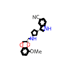 COc1cccc2c1O[C@@H](CN[C@@H]1CC[C@H](c3c[nH]c4ccc(C#N)cc34)C1)CO2